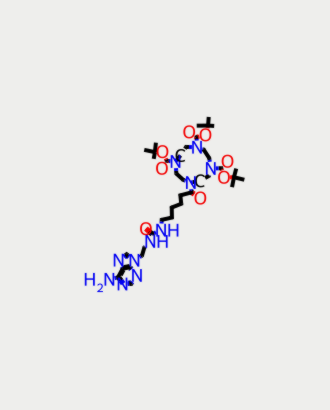 CC(C)(C)OC(=O)N1CCN(C(=O)CCCCCNC(=O)NCCn2cnc3c(N)ncnc32)CCN(C(=O)OC(C)(C)C)CCN(C(=O)OC(C)(C)C)CC1